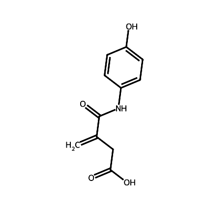 C=C(CC(=O)O)C(=O)Nc1ccc(O)cc1